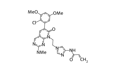 C=CC(=O)Nc1cn(CCn2c(=O)c(-c3cc(OC)cc(OC)c3Cl)cc3cnc(NC)nc32)cn1